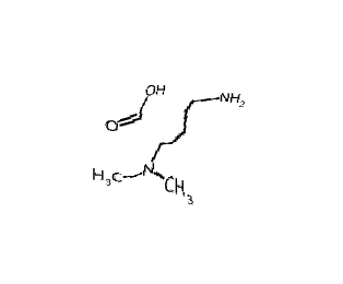 CN(C)CCCN.O=CO